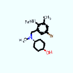 CC(=O)Nc1c(C)cc(Br)cc1CN(C)[C@H]1CC[C@H](O)CC1